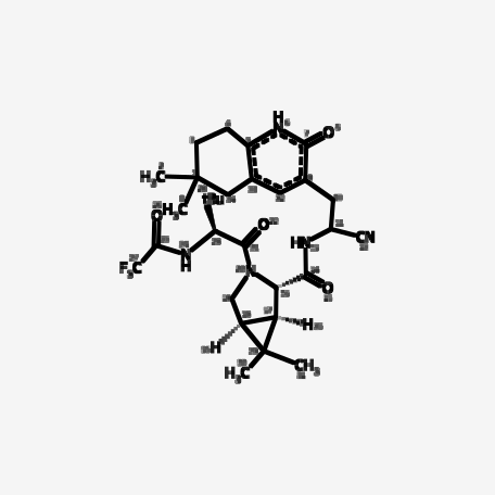 CC1(C)CCc2[nH]c(=O)c(CC(C#N)NC(=O)[C@@H]3[C@@H]4[C@H](CN3C(=O)[C@@H](NC(=O)C(F)(F)F)C(C)(C)C)C4(C)C)cc2C1